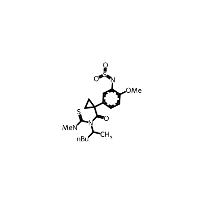 CCCCC(C)N(C(=O)C1(c2ccc(OC)c(N=S(=O)=O)c2)CC1)C(=S)NC